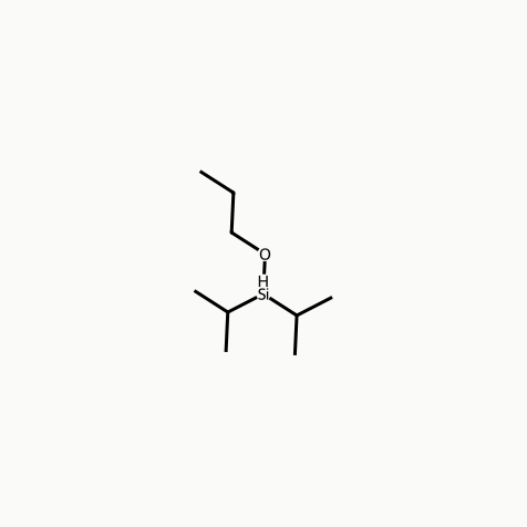 CCCO[SiH](C(C)C)C(C)C